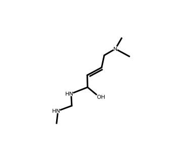 CNCNC(O)/C=C/CN(C)C